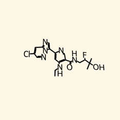 CCNc1cc(-c2cnc3cc(Cl)cnn23)ncc1C(=O)NCC(F)C(C)(C)O